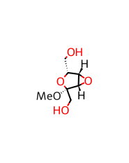 CO[C@]1(CO)O[C@H](CO)[C@@H]2O[C@@H]21